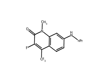 CCCNc1ccc2c(C(F)(F)F)c(F)c(=O)n(C)c2c1